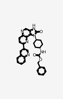 O=C(N[C@H]1CC[C@H](n2c(=O)[nH]c3cnc4ccc(-c5cnc6ccccc6c5)nc4c32)CC1)OCc1ccccc1